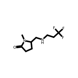 CN1C(=O)CCC1CNCCC(F)(F)F